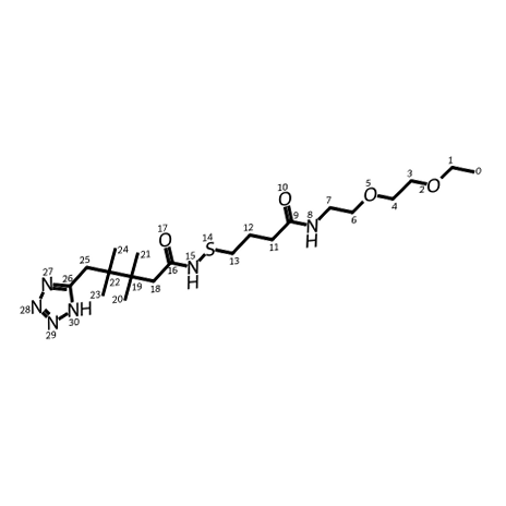 CCOCCOCCNC(=O)CCCSNC(=O)CC(C)(C)C(C)(C)Cc1nnn[nH]1